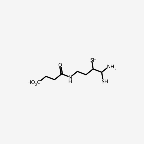 NC(S)C(S)CCNC(=O)CCC(=O)O